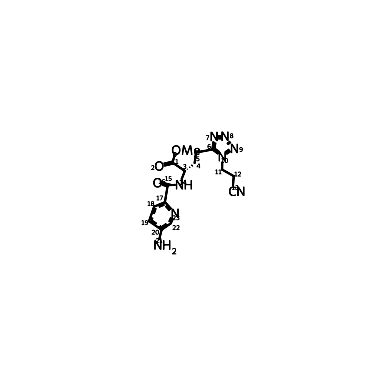 COC(=O)[C@H](CCc1nnnn1CCC#N)NC(=O)c1ccc(N)cn1